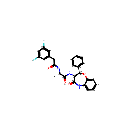 C[C@H](NC(=O)Cc1cc(F)cc(F)c1)C(=O)N[C@@H]1C(=O)Nc2ccccc2O[C@@H]1c1ccccc1